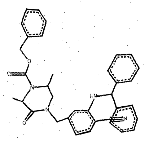 CC1CN(Cc2ccc(C#N)c(NC(c3ccccc3)c3ccccc3)c2)C(=O)C(C)N1C(=O)OCc1ccccc1